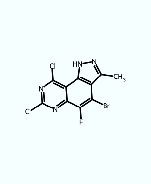 Cc1n[nH]c2c1c(Br)c(F)c1nc(Cl)nc(Cl)c12